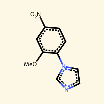 COc1cc([N+](=O)[O-])ccc1-n1ccnc1